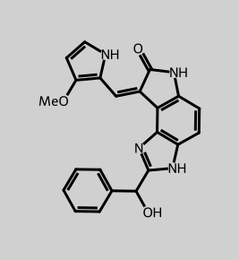 COc1cc[nH]c1C=C1C(=O)Nc2ccc3[nH]c(C(O)c4ccccc4)nc3c21